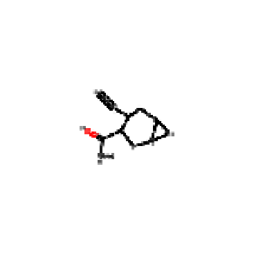 C#CC1CC2CC2CC1C(=O)OC